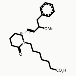 COC(/C=C/[C@H]1CCCC(=O)N1CCCCCCC(=O)O)Cc1ccccc1